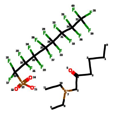 CCCCC(=O)C[S+](CC)CC.O=S(=O)([O-])C(F)(F)C(F)(F)C(F)(F)C(F)(F)C(F)(F)C(F)(F)C(F)(F)C(F)(F)F